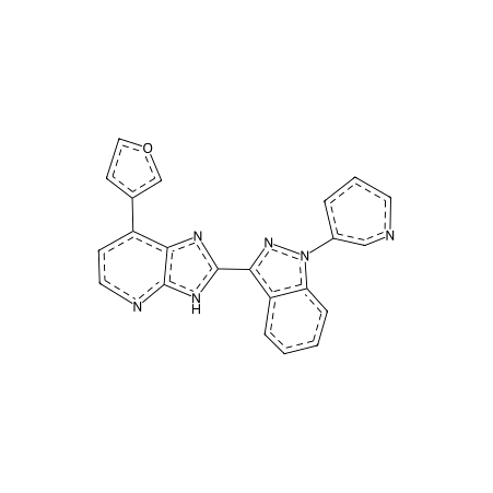 c1cncc(-n2nc(-c3nc4c(-c5ccoc5)ccnc4[nH]3)c3ccccc32)c1